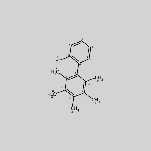 CCc1[c]cccc1-c1c(C)c(C)c(C)c(C)c1C